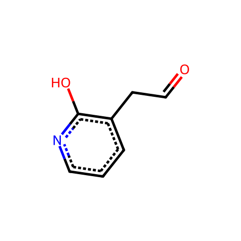 O=CCc1cccnc1O